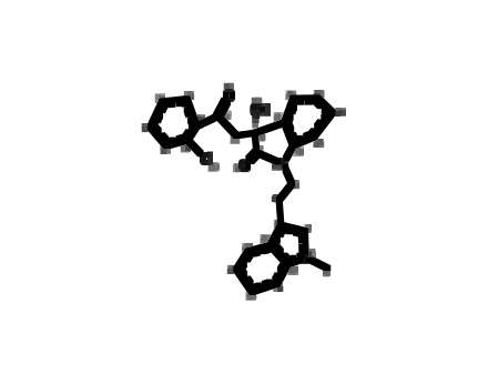 Cn1cc(CCN2C(=O)[C@@](O)(CC(=O)c3ccccc3Cl)c3ccccc32)c2ccccc21